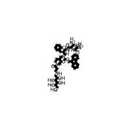 Cc1ccccc1C[C@@H](CNC(=O)C1=NC(Cl)=C(N)NC1N)CN(CC1CCN(C(=O)CCNC[C@H](O)[C@@H](O)[C@H](O)[C@H](O)CO)CC1)C(=O)OCC1c2ccccc2-c2ccccc21